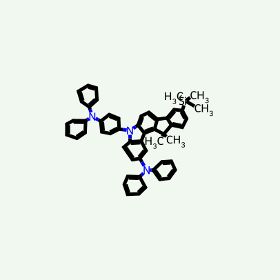 CC1(C)c2ccc([Si](C)(C)C)cc2-c2ccc3c(c21)c1cc(N(c2ccccc2)c2ccccc2)ccc1n3-c1ccc(N(c2ccccc2)c2ccccc2)cc1